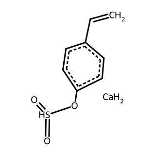 C=Cc1ccc(O[SH](=O)=O)cc1.[CaH2]